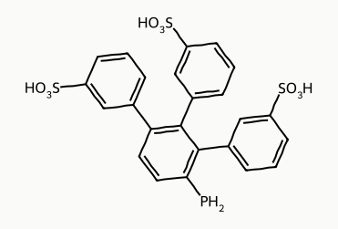 O=S(=O)(O)c1cccc(-c2ccc(P)c(-c3cccc(S(=O)(=O)O)c3)c2-c2cccc(S(=O)(=O)O)c2)c1